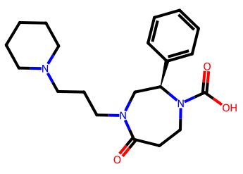 O=C1CCN(C(=O)O)[C@H](c2ccccc2)CN1CCCN1CCCCC1